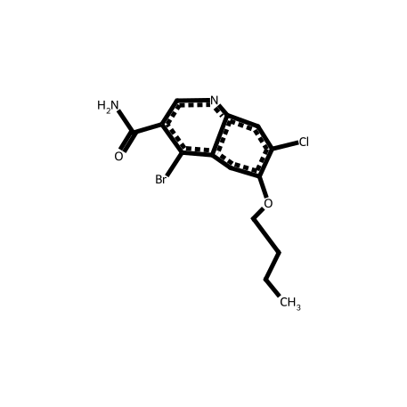 CCCCOc1cc2c(Br)c(C(N)=O)cnc2cc1Cl